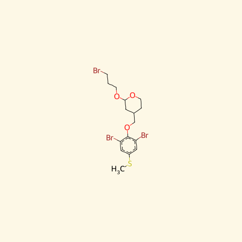 CSc1cc(Br)c(OCC2CCOC(OCCCBr)C2)c(Br)c1